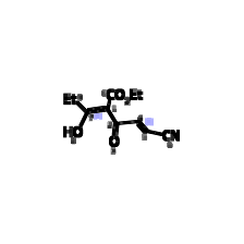 CCOC(=O)/C(C(=O)/C=C/C#N)=C(/O)CC